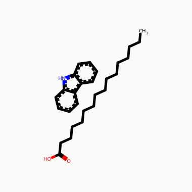 CCCCCCCCCCCCCCCC(=O)O.c1ccc2c(c1)[nH]c1ccccc12